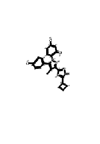 Cc1c(-c2n[nH]c(C3CCC3)n2)nn(-c2ccc(Cl)cc2Cl)c1-c1ccc(Cl)cc1